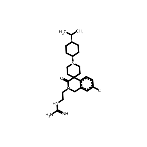 CC(C)[C@H]1CC[C@@H](N2CCC3(CC2)C(=O)N(CCNC(=N)N)Cc2cc(Cl)ccc23)CC1